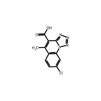 Cc1c(C(=O)O)c2nnnn2c2cc(Cl)ccc12